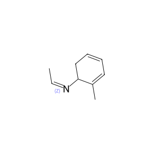 C/C=N\C1CC=CC=C1C